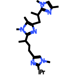 Cc1cn(C)c(C(C)Cc2nc(C(C)CCc3cn(C)c(C(C)C)n3)n(C)c2C)n1